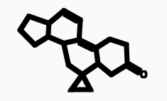 O=C1CCC2=C3C=CC4CCCC4C3CC3(CC3)C2C1